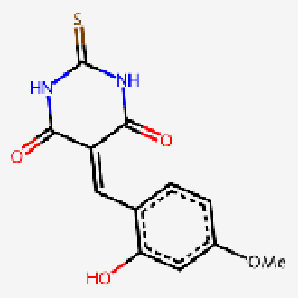 COc1ccc(C=C2C(=O)NC(=S)NC2=O)c(O)c1